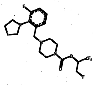 O=C(OC(CF)C(F)(F)F)N1CCN(Cc2cccc(F)c2N2CCCC2)CC1